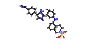 Cc1ccc(Nc2cccc3c2CCN(S(C)(=O)=O)C3)cc1-c1ncc(-c2ccc(C#N)cc2)[nH]1